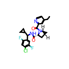 CCc1ccnc(C(=O)N2[C@@H](C(=O)NC(c3cc(F)c(Cl)cc3F)C3CC3)C[C@H]3C[C@H]32)c1